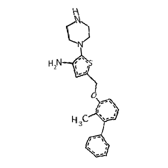 Cc1c(OCc2cc(N)c(N3CCNCC3)s2)cccc1-c1ccccc1